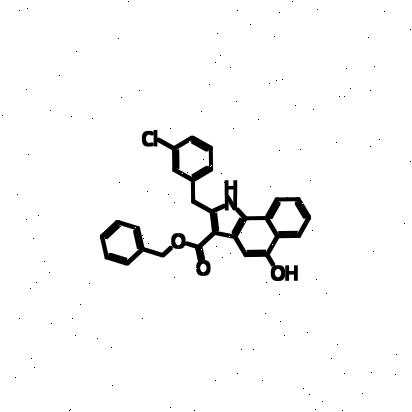 O=C(OCc1ccccc1)c1c(Cc2cccc(Cl)c2)[nH]c2c1cc(O)c1ccccc12